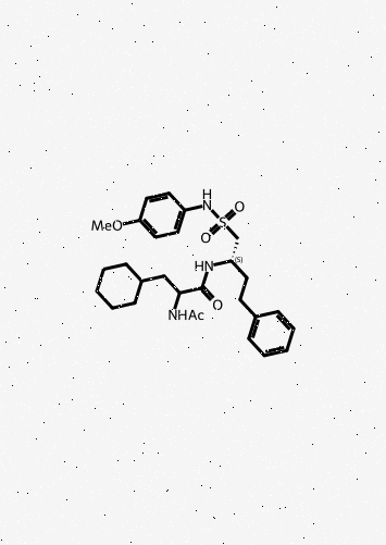 COc1ccc(NS(=O)(=O)C[C@H](CCc2ccccc2)NC(=O)C(CC2CCCCC2)NC(C)=O)cc1